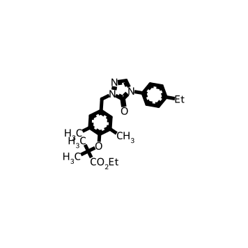 CCOC(=O)C(C)(C)Oc1c(C)cc(Cn2ncn(-c3ccc(CC)cc3)c2=O)cc1C